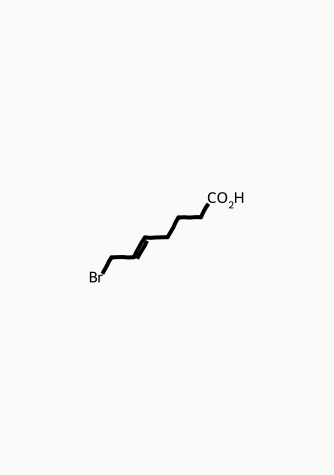 O=C(O)CCCC=CCBr